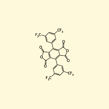 O=c1oc(=O)c2c(-c3cc(C(F)(F)F)cc(C(F)(F)F)c3)c3c(=O)oc(=O)c3c(-c3cc(C(F)(F)F)cc(C(F)(F)F)c3)c12